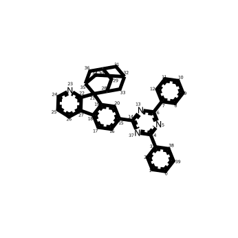 c1ccc(-c2nc(-c3ccccc3)nc(-c3ccc4c(c3)C3(c5ncccc5-4)C4CC5CC(C4)CC3C5)n2)cc1